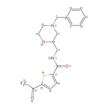 O=C(NCC1CN(Cc2ccccc2)CCO1)c1ccc(C(=O)C(F)(F)F)s1